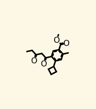 CCC(=O)CC(=O)c1cc(C(=O)OC)c(C)cc1C1CCC1